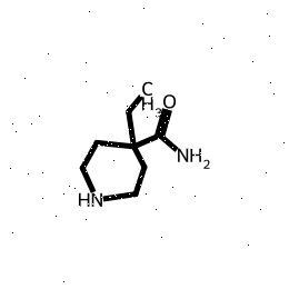 CCC1(C(N)=O)CCNCC1